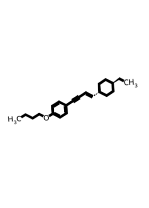 CCCCOc1ccc(C#CC=C[C@H]2CC[C@H](CC)CC2)cc1